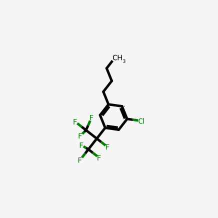 CCCCc1[c]c(Cl)cc(C(F)(C(F)(F)F)C(F)(F)F)c1